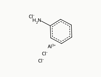 Nc1ccccc1.[Al+3].[Cl-].[Cl-].[Cl-]